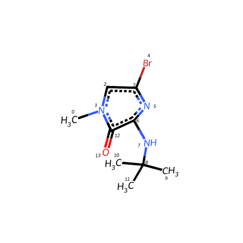 Cn1cc(Br)nc(NC(C)(C)C)c1=O